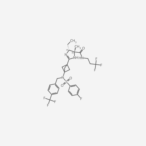 CC[C@H]1N=C(C23CC(N(Cc4ccc(C(F)(F)F)cc4)S(=O)(=O)c4ccc(F)cc4)(C2)C3)N[C@@]1(C)C(=O)NCCC(F)(F)F